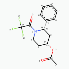 CC(=O)O[C@@H]1CCN(C(=O)C(F)(F)F)[C@H](c2ccccc2)C1